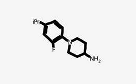 CC(C)c1ccc(N2CCC(N)CC2)c(F)c1